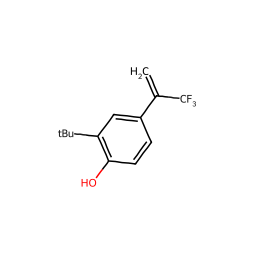 C=C(c1ccc(O)c(C(C)(C)C)c1)C(F)(F)F